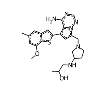 COc1cc(C)cc2cc(-c3cc(CN4CCC(NCC(C)O)C4)n4ncnc(N)c34)sc12